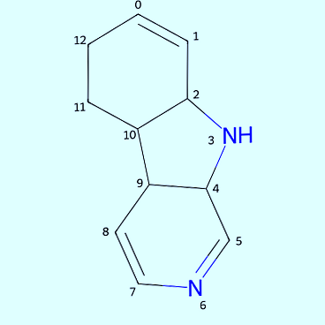 C1=CC2NC3C=NC=CC3C2CC1